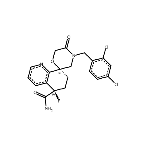 NC(=O)[C@@]1(F)CC[C@]2(CN(Cc3ccc(Cl)cc3Cl)C(=O)CO2)c2ncccc21